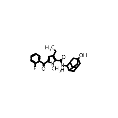 CCc1cc(C(=O)c2ccccc2F)n(C)c1C(=O)NC1C2CC3CC1CC(O)(C3)C2